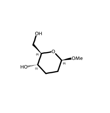 CO[C@H]1CC[C@H](O)[C@@H](CO)O1